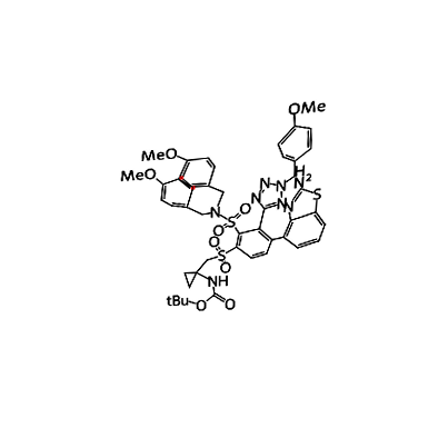 COc1ccc(CN(Cc2ccc(OC)cc2)S(=O)(=O)c2c(S(=O)(=O)CC3(NC(=O)OC(C)(C)C)CC3)ccc(-c3cccc4sc(N)nc34)c2-c2nnn(Cc3ccc(OC)cc3)n2)cc1